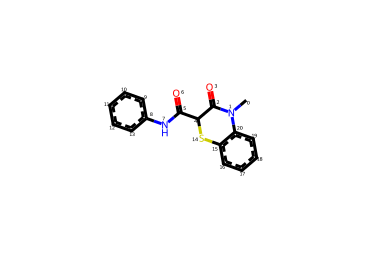 CN1C(=O)C(C(=O)Nc2ccccc2)Sc2ccccc21